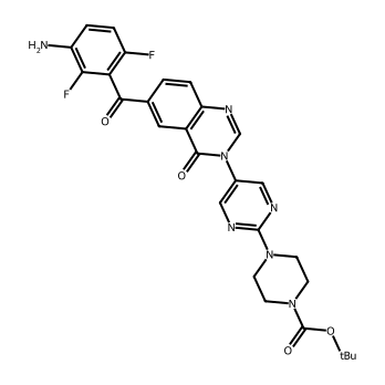 CC(C)(C)OC(=O)N1CCN(c2ncc(-n3cnc4ccc(C(=O)c5c(F)ccc(N)c5F)cc4c3=O)cn2)CC1